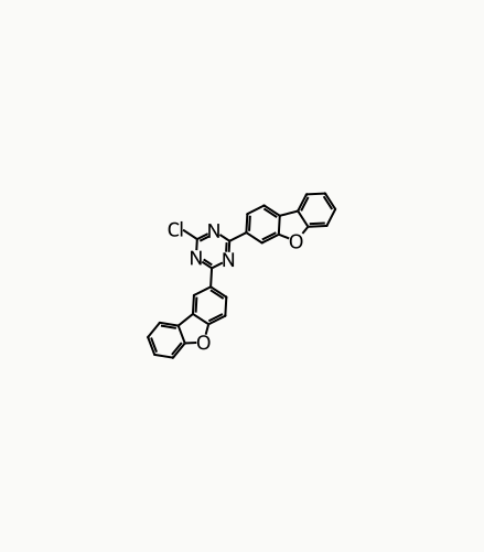 Clc1nc(-c2ccc3c(c2)oc2ccccc23)nc(-c2ccc3oc4ccccc4c3c2)n1